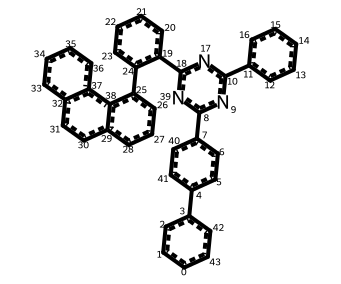 c1ccc(-c2ccc(-c3nc(-c4ccccc4)nc(-c4ccccc4-c4cccc5ccc6ccccc6c45)n3)cc2)cc1